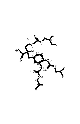 CCC(C)COC(=O)O[C@@H](C)CC(N)(Cc1ccc(OC(=O)OCC(C)C)c(OC(=O)OCC(C)C)c1)C(=O)O